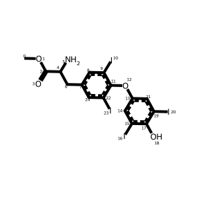 COC(=O)C(N)Cc1cc(I)c(Oc2cc(I)c(O)c(I)c2)c(I)c1